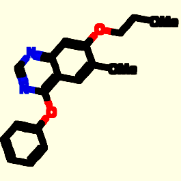 COCCOc1cc2ncnc(Oc3ccccc3)c2cc1OC